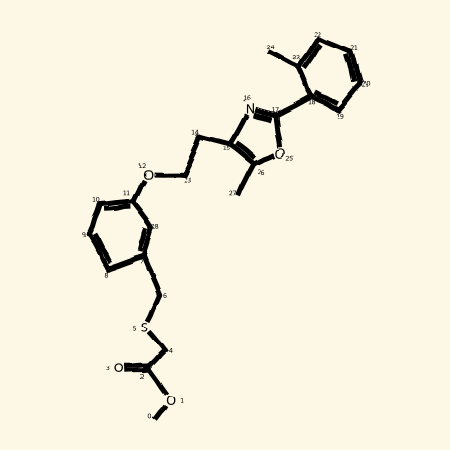 COC(=O)CSCc1cccc(OCCc2nc(-c3ccccc3C)oc2C)c1